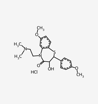 COc1ccc(C2Sc3ccc(OC)cc3N(CCN(C)C)C(=O)C2O)cc1.Cl